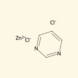 [Cl-].[Cl-].[Zn+2].c1cncnc1